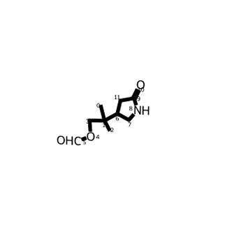 CC(C)(COC=O)C1CNC(=O)C1